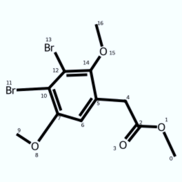 COC(=O)Cc1cc(OC)c(Br)c(Br)c1OC